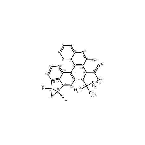 Cc1nc2ccccc2c(-c2ccc3c4c(ccnc24)[C@H]2C[C@@H]32)c1[C@H](OC(C)(C)C)C(=O)O